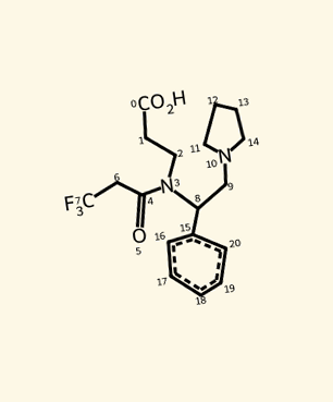 O=C(O)CCN(C(=O)CC(F)(F)F)C(CN1CCCC1)c1ccccc1